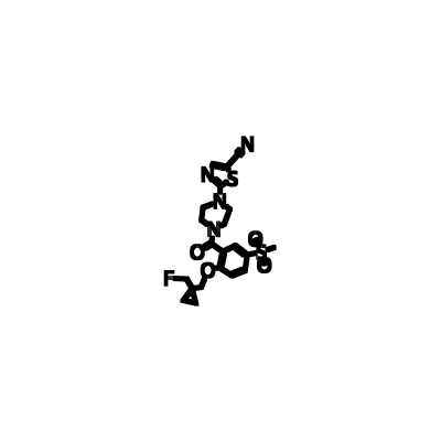 CS(=O)(=O)c1ccc(OCC2(CF)CC2)c(C(=O)N2CCN(c3ncc(C#N)s3)CC2)c1